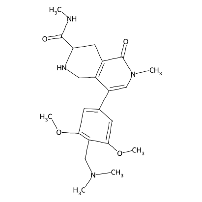 CNC(=O)C1Cc2c(c(-c3cc(OC)c(CN(C)C)c(OC)c3)cn(C)c2=O)CN1